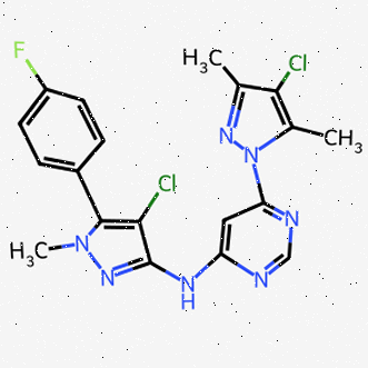 Cc1nn(-c2cc(Nc3nn(C)c(-c4ccc(F)cc4)c3Cl)ncn2)c(C)c1Cl